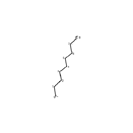 [CH2]CCCCCC[CH]F